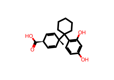 C[C@]1(C2(c3ccc(O)cc3O)CCCCC2)C=C[C@H](C(=O)O)C=C1